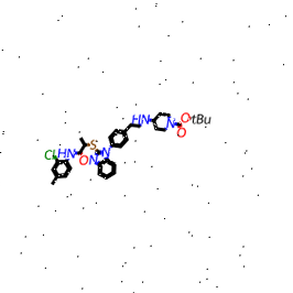 Cc1ccc(NC(=O)C(C)Sc2nc3ccccc3n2-c2ccc(CCNC3CCN(C(=O)OC(C)(C)C)CC3)cc2)c(Cl)c1